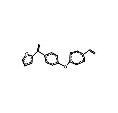 C=Cc1ccc(Oc2ccc(C(=C)c3ccco3)cc2)cc1